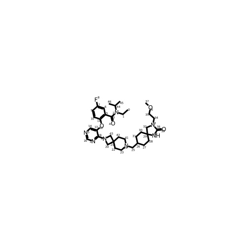 CCN(C(=O)c1cc(F)ccc1Oc1cncnc1N1CC2(CCN(CC3CCC4(CC3)CN(CCOC)C(=O)N4)CC2)C1)C(C)C